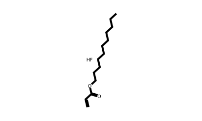 C=CC(=O)OCCCCCCCCCCC.F